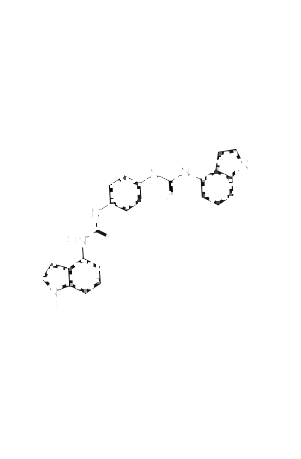 O=C(Nc1ccc(NC(=O)Nc2cccc3[nH]ccc23)cc1)Nc1cccc2[nH]ccc12